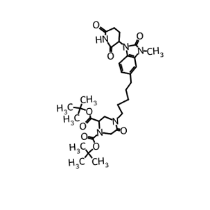 Cn1c(=O)n(C2CCC(=O)NC2=O)c2ccc(CCCCCN3CC(C(=O)OC(C)(C)C)N(C(=O)OC(C)(C)C)CC3=O)cc21